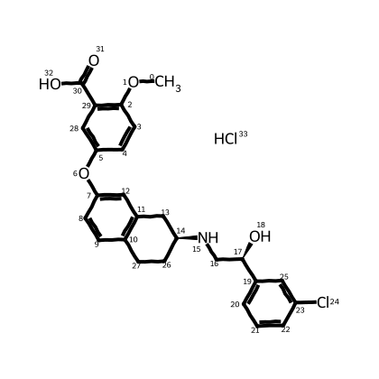 COc1ccc(Oc2ccc3c(c2)C[C@@H](NC[C@@H](O)c2cccc(Cl)c2)CC3)cc1C(=O)O.Cl